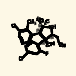 Cc1c(Cl)cccc1[C@H]1[C@H](C(=O)O)N[C@@H](CC(C)(C)C)[C@]1(C#N)c1ccc(Cl)cc1F